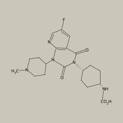 CN1CCC(n2c(=O)n([C@H]3CC[C@@H](NC(=O)O)CC3)c(=O)c3cc(F)cnc32)CC1